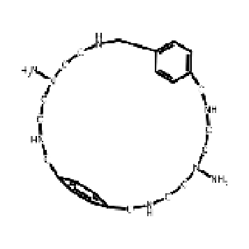 NN1CCNCc2ccc(cc2)CNCCN(N)CCNCc2ccc(cc2)CNCC1